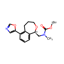 CN(C[C@@H]1OCCCc2c(-c3cnco3)cccc21)C(=O)OC(C)(C)C